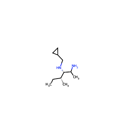 CC[C@@H](C)[C@H](NCC1CC1)C(C)N